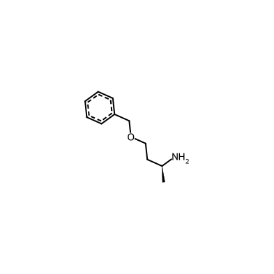 C[C@H](N)CCOCc1ccccc1